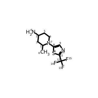 CC1CC(N)CCN1c1cnc(C(F)(F)F)s1